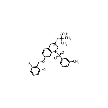 Cc1cccc(S(=O)(=O)N2C[C@H](OC(C)(C)C(=O)O)Cc3ccc(OCc4c(F)cccc4Cl)cc32)c1